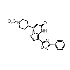 O=C(O)N1CCC(c2cc(=O)[nH]c3c(-c4nc(-c5ccccc5)no4)cnn23)CC1